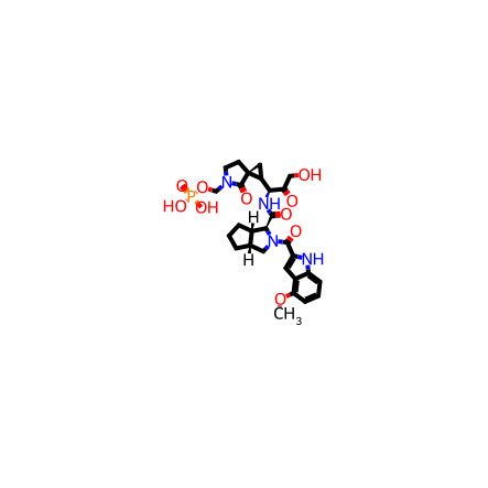 COc1cccc2[nH]c(C(=O)N3C[C@@H]4CCC[C@@H]4[C@H]3C(=O)N[C@H](C(=O)CO)C3C[C@@]34CCN(COP(=O)(O)O)C4=O)cc12